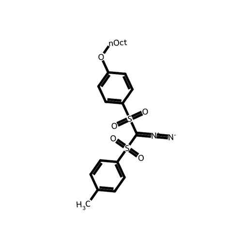 CCCCCCCCOc1ccc(S(=O)(=O)C(=[N+]=[N-])S(=O)(=O)c2ccc(C)cc2)cc1